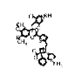 COc1ccc([C@H](Cc2c(Cl)c[n+](O)cc2Cl)OC(=O)c2ccc(CN3CC(C(=O)[O-])(c4ccccc4)C3[C@@H]3CCN(C)C3)s2)cc1OC